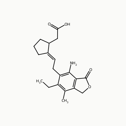 CCc1c(C)c2c(c(N)c1CC=C1CCCC1CC(=O)O)C(=O)OC2